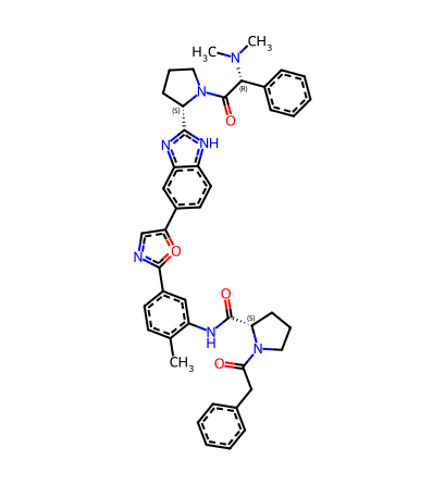 Cc1ccc(-c2ncc(-c3ccc4[nH]c([C@@H]5CCCN5C(=O)[C@@H](c5ccccc5)N(C)C)nc4c3)o2)cc1NC(=O)[C@@H]1CCCN1C(=O)Cc1ccccc1